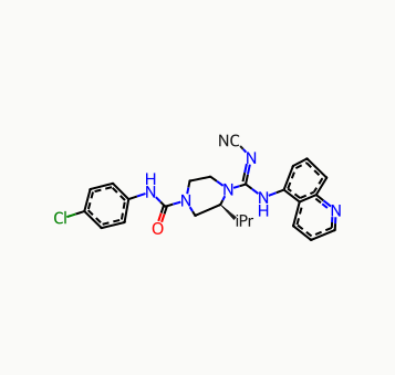 CC(C)[C@H]1CN(C(=O)Nc2ccc(Cl)cc2)CCN1/C(=N\C#N)Nc1cccc2ncccc12